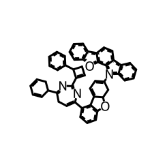 C1=CCC(C2=NC(C3=CCC3c3ccccc3)=NC(c3cccc4c3C3=CC=C(n5c6ccccc6c6ccc7c8ccccc8oc7c65)CC3O4)=CC2)C=C1